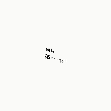 [BiH3].[Cu].[SeH][TeH]